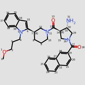 COCCCn1c([C@@H]2CCCN(C(=O)[C@@H]3CN(C(=O)c4ccc5ccccc5c4)C[C@H]3N)C2)cc2ccccc21